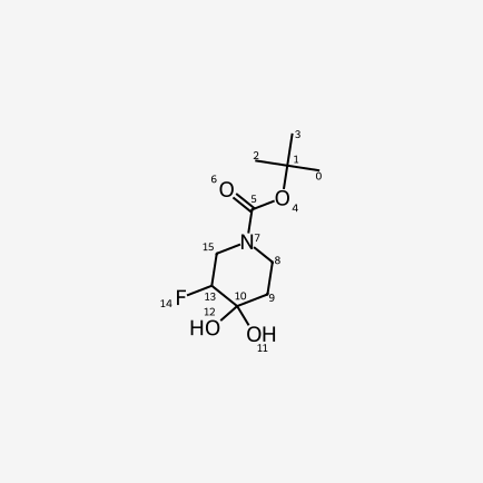 CC(C)(C)OC(=O)N1CCC(O)(O)C(F)C1